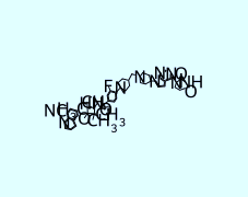 CC1(C)C(NC(=O)c2ccc(N3CCC(CN4CCC(n5ccc6c(N7CCC(=O)NC7=O)ncnc65)CC4)CC3)c(F)c2)C(C)(C)C1Oc1ccc(C#N)c2ncccc12